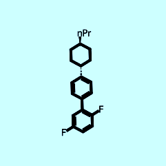 CCC[C@H]1CC[C@H](c2ccc(-c3cc(F)ccc3F)cc2)CC1